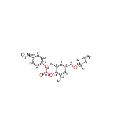 Cc1cc(CO[Si](C)(C)CC(C)C)cc(C)c1OC(=O)Oc1ccc([N+](=O)[O-])cc1